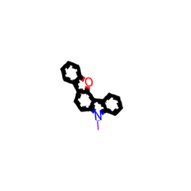 In1c2ccccc2c2c3oc4ccccc4c3ccc21